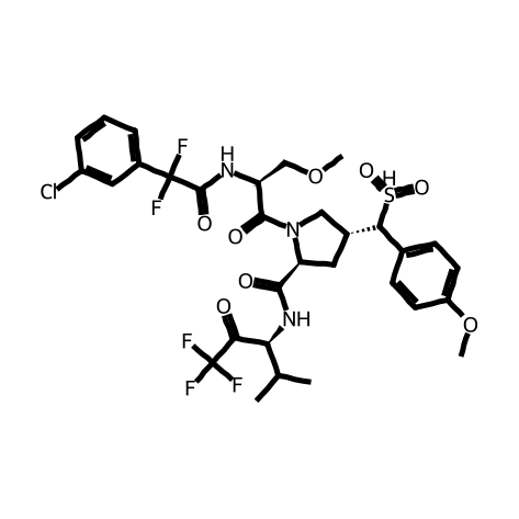 COC[C@H](NC(=O)C(F)(F)c1cccc(Cl)c1)C(=O)N1C[C@H](C(c2ccc(OC)cc2)[SH](=O)=O)C[C@H]1C(=O)N[C@H](C(=O)C(F)(F)F)C(C)C